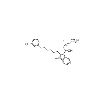 C[C@H](CC(=O)O)CC(O)c1c(CCCCCCc2cccc(Cl)c2)n(C)c2ccncc12